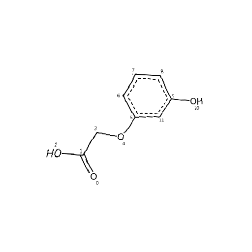 O=C(O)COc1c[c]cc(O)c1